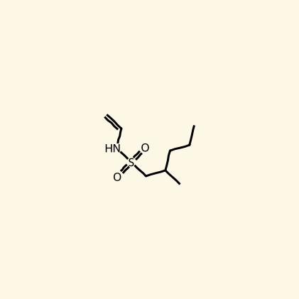 C=CNS(=O)(=O)CC(C)CCC